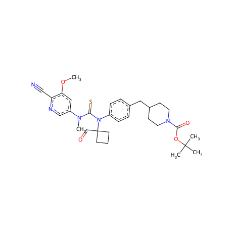 COc1cc(N(C)C(=S)N(c2ccc(CC3CCN(C(=O)OC(C)(C)C)CC3)cc2)C2(C=O)CCC2)cnc1C#N